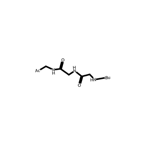 CCC(C)NCC(=O)NCC(=O)NCC(C)=O